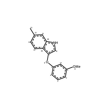 COc1cccc(Oc2c[nH]c3cc(C)ccc23)c1